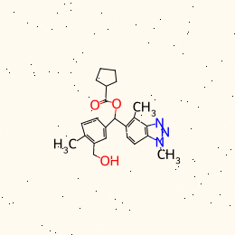 Cc1ccc(C(OC(=O)C2CCCC2)c2ccc3c(nnn3C)c2C)cc1CO